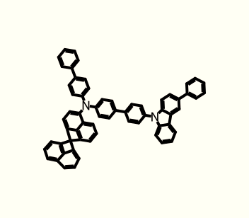 c1ccc(-c2ccc(N(c3ccc(-c4ccc(-n5c6ccccc6c6cc(-c7ccccc7)ccc65)cc4)cc3)c3ccc4c5c(cccc35)C43c4cccc5cccc3c45)cc2)cc1